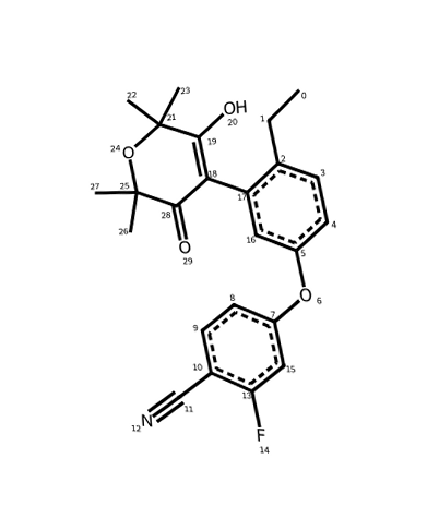 CCc1ccc(Oc2ccc(C#N)c(F)c2)cc1C1=C(O)C(C)(C)OC(C)(C)C1=O